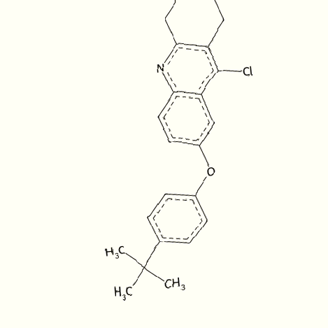 CC(C)(C)c1ccc(Oc2ccc3nc4c(c(Cl)c3c2)CCCC4)cc1